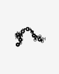 Nc1ncnc2c1c(-c1ccc(Oc3ccccc3)cc1)nn2C1CCN(CC2CCN(CC3CN(c4ccc5c(c4)CN(C4CCC(=O)NC4=O)C5=O)C3)CC2)CC1